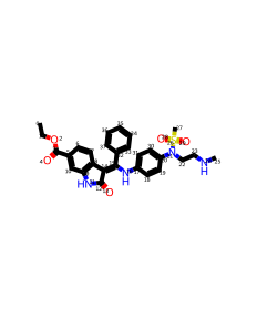 CCOC(=O)c1ccc2c(c1)NC(=O)/C2=C(\Nc1ccc(N(CCNC)S(C)(=O)=O)cc1)c1ccccc1